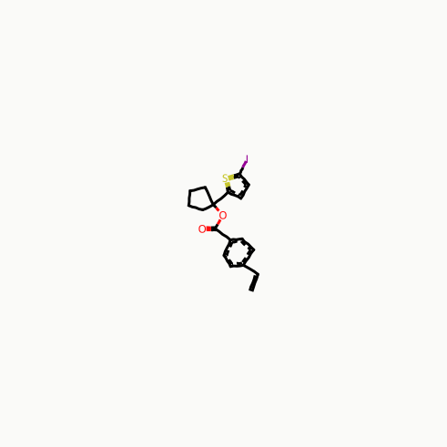 C=Cc1ccc(C(=O)OC2(c3ccc(I)s3)CCCC2)cc1